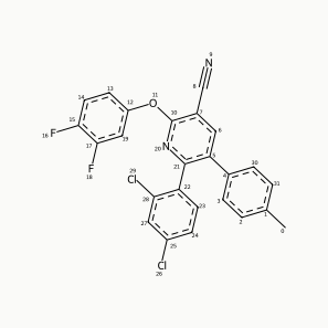 Cc1ccc(-c2cc(C#N)c(Oc3ccc(F)c(F)c3)nc2-c2ccc(Cl)cc2Cl)cc1